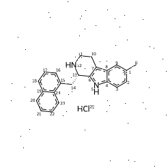 Cc1ccc2[nH]c3c(c2c1)CCN[C@H]3Cc1cccc2ccccc12.Cl